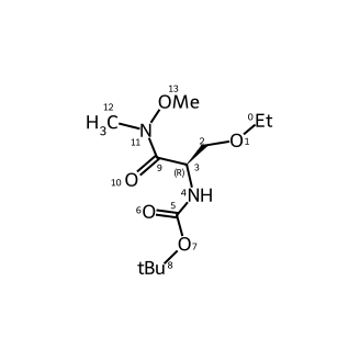 CCOC[C@@H](NC(=O)OC(C)(C)C)C(=O)N(C)OC